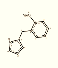 COc1ccccc1Cn1[c]ccn1